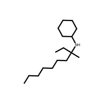 CCCCCCCC(C)(CC)NC1CCCCC1